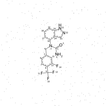 NC(=O)N(Cc1ccc(C(F)(F)F)c(F)c1)c1cccc2[nH]ncc12